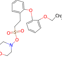 CCOc1ccccc1Oc1ccccc1CCS(=O)(=O)ON1CCOCC1